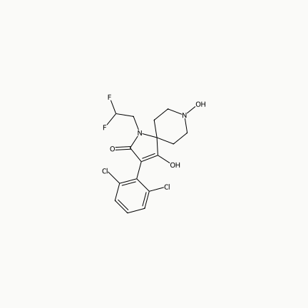 O=C1C(c2c(Cl)cccc2Cl)=C(O)C2(CCN(O)CC2)N1CC(F)F